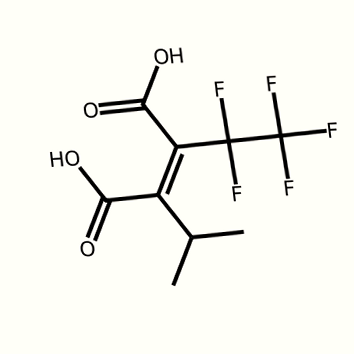 CC(C)C(C(=O)O)=C(C(=O)O)C(F)(F)C(F)(F)F